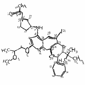 COC(C)COc1cc(N[C@H]2CCN(C(=O)O)C2)c2cc(I)c(Br)c(OC(CC(C)(C)C)c3ccccc3)c2n1